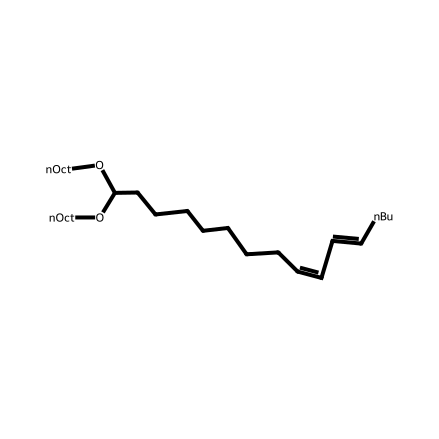 CCCC/C=C/C=C\CCCCCCCC(OCCCCCCCC)OCCCCCCCC